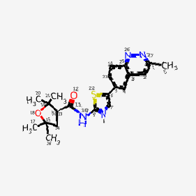 Cc1cc2cc(-c3cnc(NC(=O)[C@H]4CC(C)(C)OC4(C)C)s3)ccc2nn1